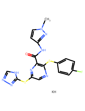 Cn1ccc(NC(=O)c2nc(Sc3nnc[nH]3)cnc2Sc2ccc(F)cc2)n1.[KH]